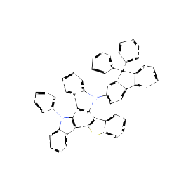 c1ccc(-n2c3ccccc3c3c4sc5ccccc5c4c4c(c5ccccc5n4-c4ccc5c(c4)C(c4ccccc4)(c4ccccc4)c4ccccc4-5)c32)cc1